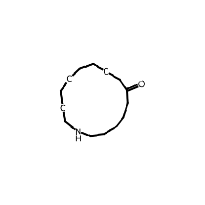 O=C1CCCCCCCCNCCCCC1